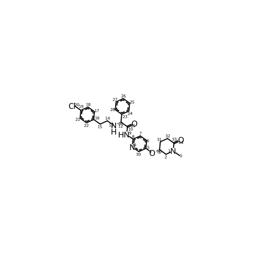 CN1C[C@H](Oc2ccc(NC(=O)[C@H](NCCc3ccc(Cl)cc3)c3ccccc3)nc2)CCC1=O